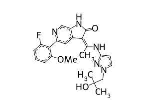 COc1cccc(F)c1-c1cc2c(cn1)NC(=O)/C2=C(/C)Nc1ccn(CC(C)(C)O)n1